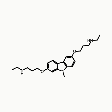 CCNCCCOc1ccc2c(c1)c1ccc(OCCCNCC)cc1n2C